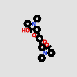 CC(C)(O)c1ccccc1N(c1ccccc1)c1ccc2c(c1)oc1cc3c(cc12)oc1c2c(ccc13)N(c1ccccc1)c1ccccc1C2(C)O